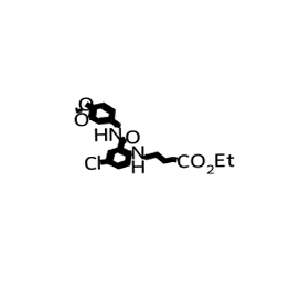 CCOC(=O)CCCCNc1ccc(Cl)cc1C(=O)NCc1ccc2c(c1)OCO2